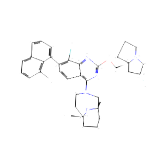 CCc1cccc2cccc(-c3ccc4c(N5CC[C@H]6CCC[C@@H](C5)N6)nc(OC[C@@]56CCCN5C[C@H](F)C6)nc4c3F)c12